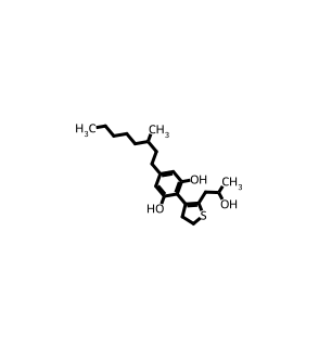 CCCCCC(C)CCc1cc(O)c(C2=C(CC(C)O)SCC2)c(O)c1